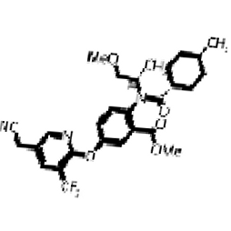 COC[C@H](C)N(c1ccc(Oc2ncc(CC#N)cc2C(F)(F)F)cc1C(=O)OC)C(=O)[C@H]1CC[C@H](C)CC1